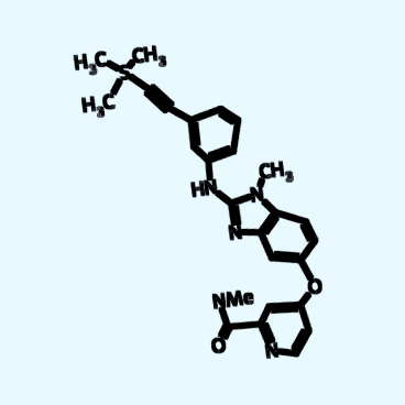 CNC(=O)c1cc(Oc2ccc3c(c2)nc(Nc2cccc(C#CS(C)(C)C)c2)n3C)ccn1